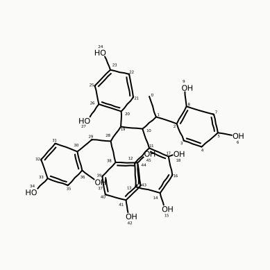 CC(c1ccc(O)cc1O)C(c1ccc(O)cc1O)C(c1ccc(O)cc1O)C(Cc1ccc(O)cc1O)c1ccc(O)cc1O